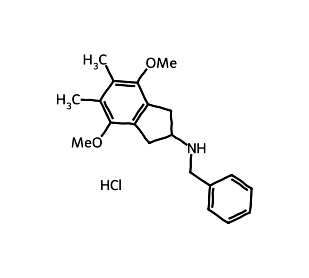 COc1c(C)c(C)c(OC)c2c1CC(NCc1ccccc1)C2.Cl